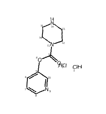 Cl.Cl.O=C(Oc1cccnc1)N1CCNCC1